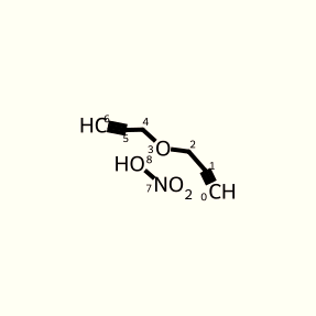 C#CCOCC#C.O=[N+]([O-])O